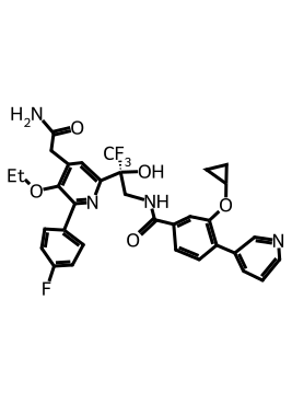 CCOc1c(CC(N)=O)cc([C@@](O)(CNC(=O)c2ccc(-c3cccnc3)c(OC3CC3)c2)C(F)(F)F)nc1-c1ccc(F)cc1